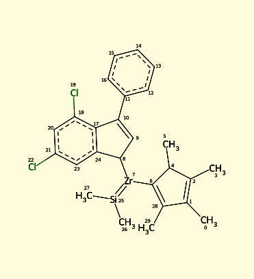 CC1=C(C)C(C)[C]([Zr]([CH]2C=C(c3ccccc3)c3c(Cl)cc(Cl)cc32)=[Si](C)C)=C1C